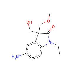 CCN1C(=O)C(CO)(COC)c2cc(N)ccc21